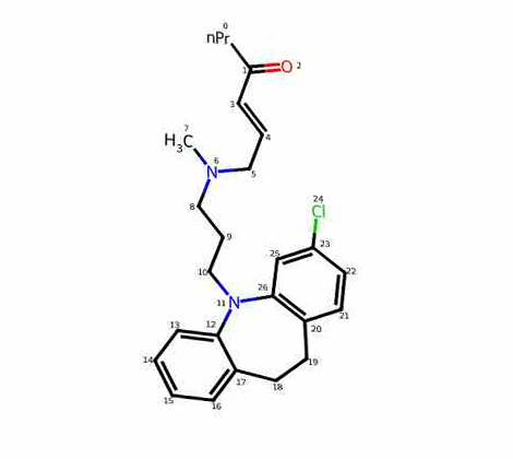 CCCC(=O)/C=C/CN(C)CCCN1c2ccccc2CCc2ccc(Cl)cc21